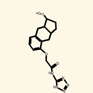 CCCCCCCCC1CCC2Cc3c(cccc3OCC(=O)Nc3nnn[nH]3)CC12